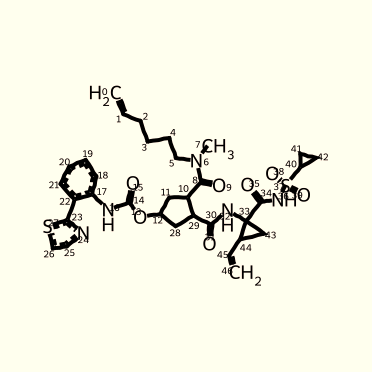 C=CCCCCN(C)C(=O)C1CC(OC(=O)Nc2ccccc2-c2nccs2)CC1C(=O)NC1(C(=O)NS(=O)(=O)C2CC2)CC1C=C